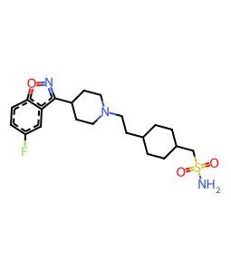 NS(=O)(=O)CC1CCC(CCN2CCC(c3noc4ccc(F)cc34)CC2)CC1